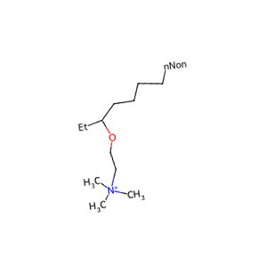 CCCCCCCCCCCCCC(CC)OCC[N+](C)(C)C